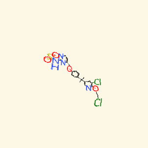 CC(C)(c1ccc(OCc2ccnc(NS(C)(=O)=O)n2)cc1)c1cnc(OCCCl)c(Cl)c1